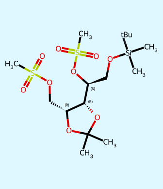 CC1(C)O[C@@H]([C@H](CO[Si](C)(C)C(C)(C)C)OS(C)(=O)=O)[C@@H](COS(C)(=O)=O)O1